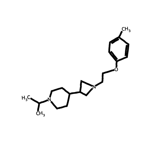 Cc1ccc(OCCN2CC(C3CCN(C(C)C)CC3)C2)cc1